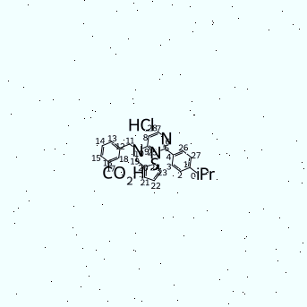 CC(C)c1ccc(-c2nccc(N(Cc3cccc(C(=O)O)c3)Cc3cccs3)n2)cc1.Cl